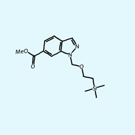 COC(=O)c1ccc2cnn(COCC[Si](C)(C)C)c2c1